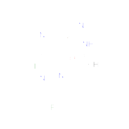 CC(=O)Nc1ncc(CN2CCCC(F)(Cc3ncc(F)cn3)C2)s1